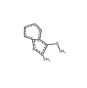 COc1c2cc[c]cc2nn1C